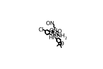 Cc1oc2ccc(NC3N(N)C(=O)N(CCCN=O)C(=O)N3Cc3ccc(Cl)cc3)cc2c1C